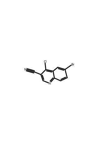 N#Cc1cnc2ccc(Br)cc2c1Cl